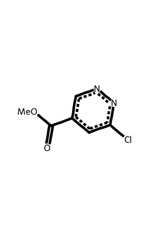 COC(=O)c1cnnc(Cl)c1